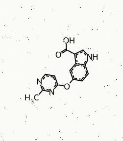 Cc1nccc(Oc2ccc3[nH]cc(C(=O)O)c3c2)n1